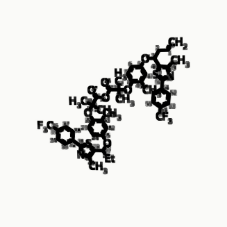 C=CCC(Oc1ccc(OC(C)(C)C(=O)OC(=O)C(C)(C)Oc2ccc(OC(CC)c3sc(-c4ccc(C(F)(F)F)cc4)nc3C)cc2C)c(C)c1)c1sc(-c2ccc(C(F)(F)F)cc2)nc1C